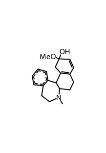 COC1(O)C=CC2=C(C1)C1c3ccccc3CCN(C)C1CC2